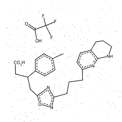 Cc1ccc(C(CC(=O)O)Cc2nc(CCCc3ccc4c(n3)NCCC4)no2)cc1.O=C(O)C(F)(F)F